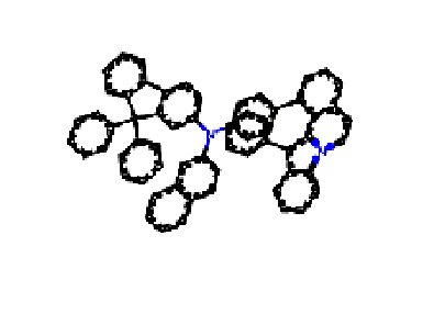 c1ccc(-c2c3ccccc3n3ccc4cccc(-c5ccc(N(c6ccc7c(c6)C(c6ccccc6)(c6ccccc6)c6ccccc6-7)c6ccc7ccccc7c6)cc5)c4c23)cc1